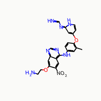 Cc1cc(Nc2ncnc3cc(OCCN)c([N+](=O)[O-])cc23)ccc1Oc1cc[nH]/c(=N\C=N)c1